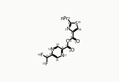 CCCc1nc(C(=O)OC(=O)c2cnc(C(F)F)cn2)cs1